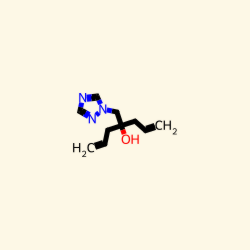 C=CCC(O)(CC=C)Cn1cncn1